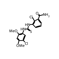 COc1cc(OC)c(NC(=S)Nc2cccc(C(N)=O)c2Cl)cc1Cl